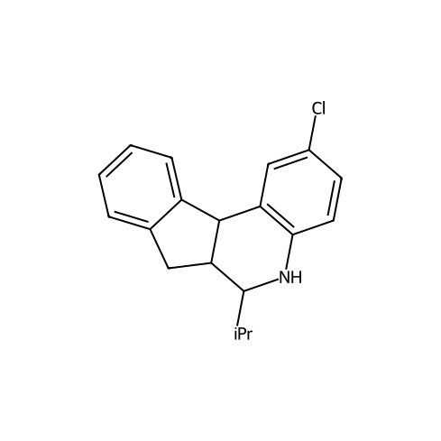 CC(C)C1Nc2ccc(Cl)cc2C2c3ccccc3CC21